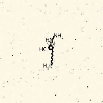 CCCCCCCCc1ccc2oc(NCCN)nc2c1.Cl